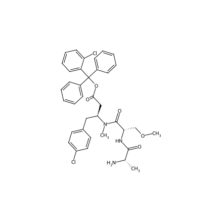 COC[C@H](NC(=O)[C@H](C)N)C(=O)N(C)[C@H](CC(=O)OC(c1ccccc1)(c1ccccc1)c1ccccc1Cl)Cc1ccc(Cl)cc1